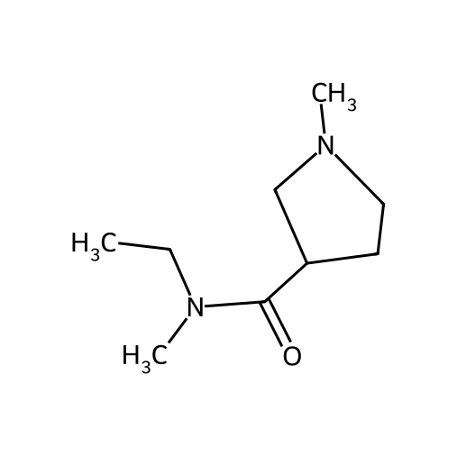 CCN(C)C(=O)C1CCN(C)C1